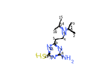 CC(C)N(CCc1nc(N)nc(S)n1)C(C)C